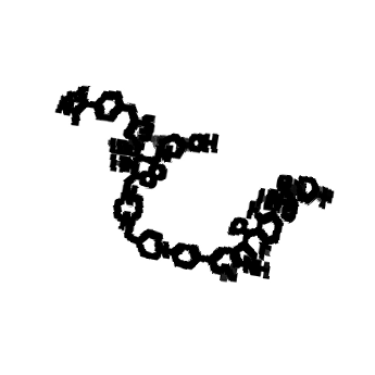 Cc1ncsc1-c1ccc(Cc2cnc([C@@H]3C[C@@H](O)CN3C(=O)C(NC(=O)CN3CCN(CC4CCN(c5ccc(-c6cnc7[nH]cc(C(=O)c8c(F)ccc(NS(=O)(=O)N9CC[C@@H](F)C9)c8F)c7c6)cc5)CC4)CC3)C(C)(C)C)s2)cc1